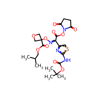 CC(C)COC(=O)C1(O/N=C(\C(=O)ON2C(=O)CCC2=O)c2csc(NC(=O)OC(C)(C)C)n2)COC1